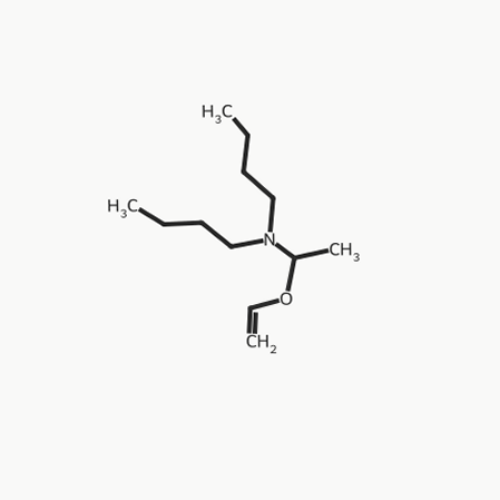 C=COC(C)N(CCCC)CCCC